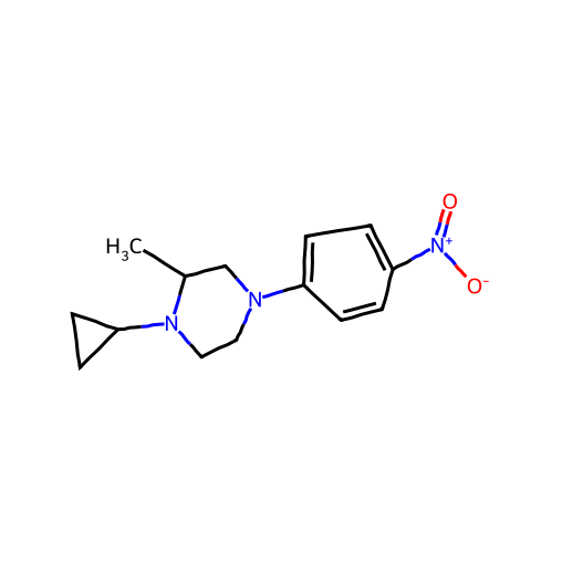 CC1CN(c2ccc([N+](=O)[O-])cc2)CCN1C1CC1